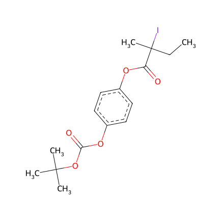 CCC(C)(I)C(=O)Oc1ccc(OC(=O)OC(C)(C)C)cc1